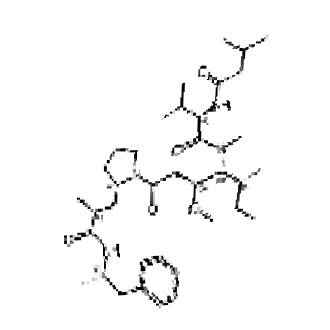 CC[C@@H](C)[C@H]([C@H](CC(=O)N1CCC[C@@H]1C[C@H](C)C(=O)N[C@@H](C)Cc1ccccc1)OC)N(C)C(=O)[C@H](NC(=O)CC(C)C)C(C)C